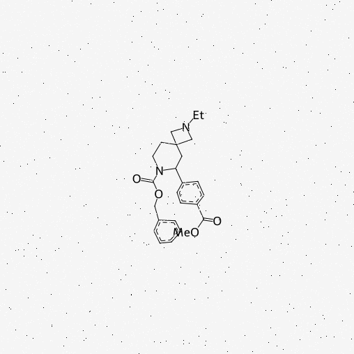 CCN1CC2(CCN(C(=O)OCc3ccccc3)C(c3ccc(C(=O)OC)cc3)C2)C1